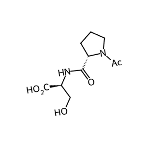 CC(=O)N1CCC[C@H]1C(=O)N[C@@H](CO)C(=O)O